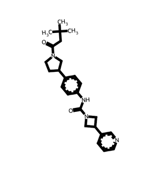 CC(C)(C)CC(=O)N1CCC(c2ccc(NC(=O)N3CC(c4cccnc4)C3)cc2)C1